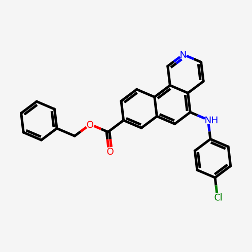 O=C(OCc1ccccc1)c1ccc2c(c1)cc(Nc1ccc(Cl)cc1)c1ccncc12